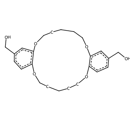 OCc1ccc2c(c1)OCCCCCOc1cc(CO)ccc1OCCCCCO2